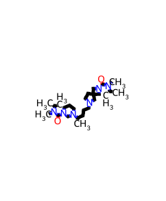 CC(CCCN1CCC2(C1)CN(C(=O)N(C)C(C)C)C2)N1CCCN(C(=O)N(C)C(C)C)C1